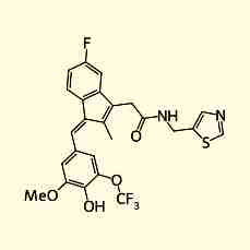 COc1cc(C=C2C(C)=C(CC(=O)NCc3cncs3)c3cc(F)ccc32)cc(OC(F)(F)F)c1O